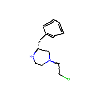 ClCCN1CCN[C@H](Cc2ccccc2)C1